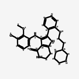 COc1c(Cl)cccc1Nc1c(-c2ccncc2OCCC2COCCO2)[nH]c2c1C(=O)NCC2